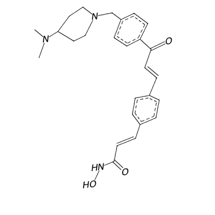 CN(C)C1CCN(Cc2ccc(C(=O)C=Cc3ccc(C=CC(=O)NO)cc3)cc2)CC1